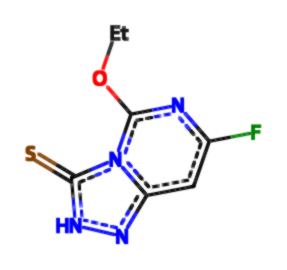 CCOc1nc(F)cc2n[nH]c(=S)n12